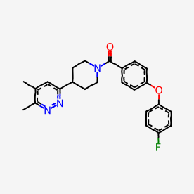 Cc1cc(C2CCN(C(=O)c3ccc(Oc4ccc(F)cc4)cc3)CC2)nnc1C